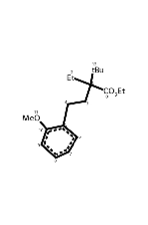 CCOC(=O)C(CC)(CCc1ccccc1OC)C(C)(C)C